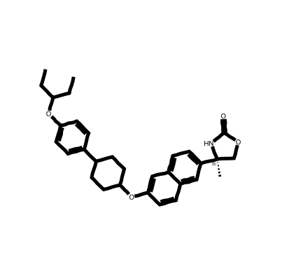 CCC(CC)Oc1ccc(C2CCC(Oc3ccc4cc([C@]5(C)COC(=O)N5)ccc4c3)CC2)cc1